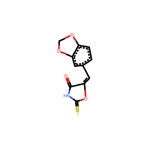 O=C1NC(=S)OC1=Cc1ccc2c(c1)OCO2